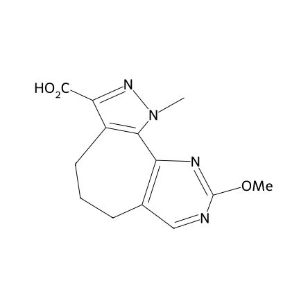 COc1ncc2c(n1)-c1c(c(C(=O)O)nn1C)CCC2